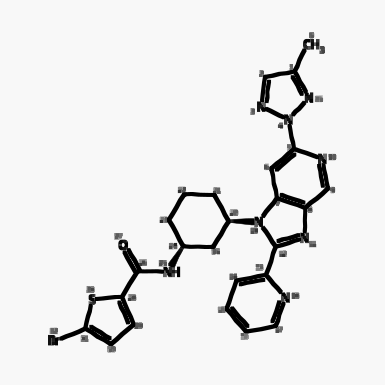 Cc1cnn(-c2cc3c(cn2)nc(-c2ccccn2)n3[C@@H]2CCC[C@H](NC(=O)c3ccc(Br)s3)C2)n1